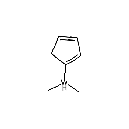 [CH3][WH]([CH3])[C]1=CC=CC1